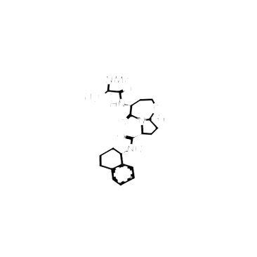 CNC(C)C(=O)N[C@H]1CCO[C@H]2CC[C@@H](C(=O)N[C@@H]3CCCc4ccccc43)N2C1=O